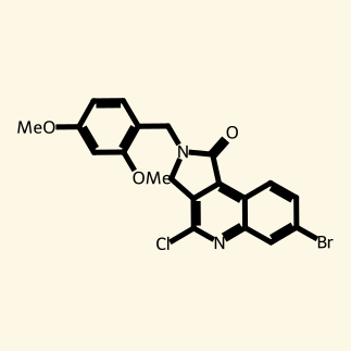 COc1ccc(CN2Cc3c(Cl)nc4cc(Br)ccc4c3C2=O)c(OC)c1